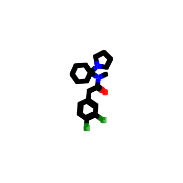 CN(C(=O)Cc1ccc(Cl)c(Cl)c1)C1(N2CCCC2)CCCCC1